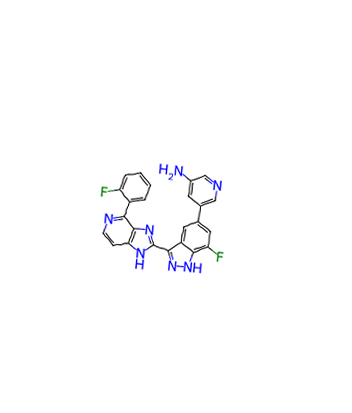 Nc1cncc(-c2cc(F)c3[nH]nc(-c4nc5c(-c6ccccc6F)nccc5[nH]4)c3c2)c1